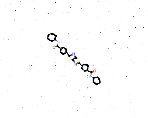 O=C(Nc1ccccc1)c1ccc(-c2nc3sc(-c4ccc(C(=O)Nc5ccccc5)cc4)nc3s2)cc1